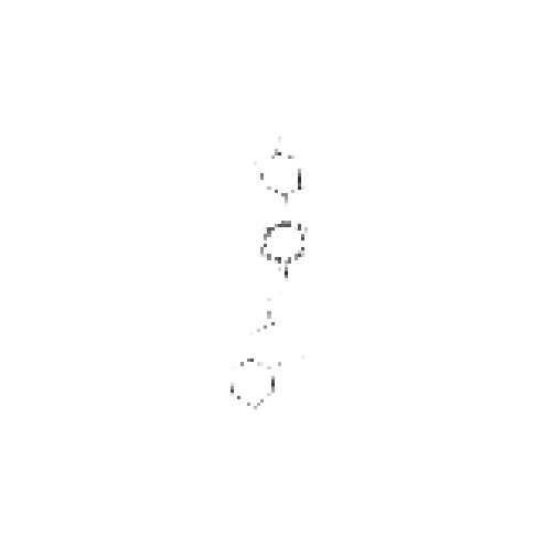 CCCCC1CCC(c2ccc(OCCCC3CCCCC3CCCC)cc2)CC1